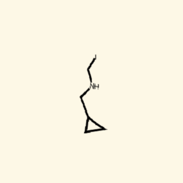 ICNCC1CC1